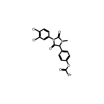 CC(C)C(=O)Oc1ccc(C2C(=O)N(c3ccc(Cl)c(Cl)c3)C(=O)N2C)cc1